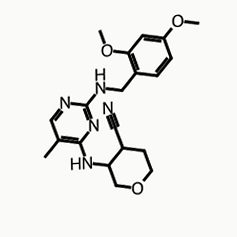 COc1ccc(CNc2ncc(C)c(NC3COCCC3C#N)n2)c(OC)c1